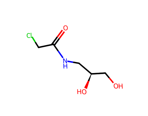 O=C(CCl)NC[C@H](O)CO